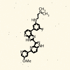 COc1cncc(-c2ccc3[nH]nc(-c4nc5c(-c6cc(F)cc(NCCN(C)C)c6)ccnc5[nH]4)c3n2)c1